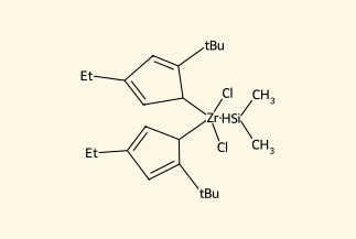 CCC1=C[CH]([Zr]([Cl])([Cl])([CH]2C=C(CC)C=C2C(C)(C)C)[SiH](C)C)C(C(C)(C)C)=C1